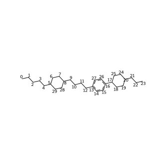 CCCCCC1CCC(CCCCc2ccc(C3CCC(CCC)CC3)cc2)CC1